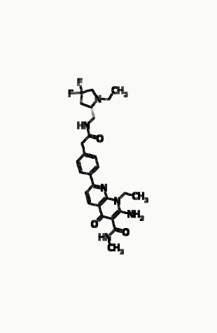 CCN1CC(F)(F)C[C@H]1CNC(=O)Cc1ccc(-c2ccc3c(=O)c(C(=O)NC)c(N)n(CC)c3n2)cc1